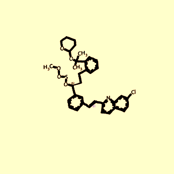 COOSO[C@@H](CCc1ccccc1C(C)(C)OC1CCCCO1)c1cccc(/C=C/c2ccc3ccc(Cl)cc3n2)c1